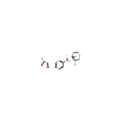 Cc1coc(Sc2ccc(C(=O)N[C@H]3CN4CCC3CC4)cc2)c1